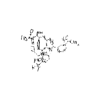 CC(C)c1ccnc(-c2nc3nc(C(=N)NC(=O)O)nc(N[C@H](C)C4CCC4)c3n2C[C@H]2CC[C@H](C(F)(F)F)CC2)c1